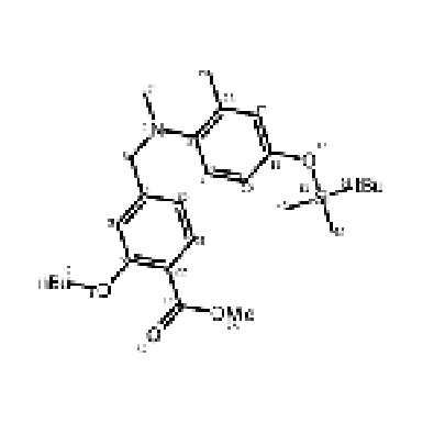 CCCCOc1cc(CN(C)c2ccc(O[Si](C)(C)C(C)(C)C)cc2C)ccc1C(=O)OC